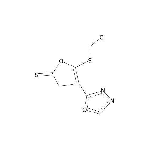 S=C1CC(c2nnco2)=C(SCCl)O1